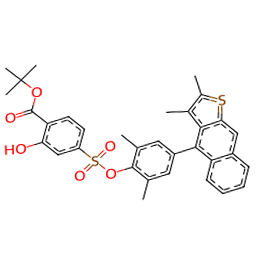 Cc1cc(-c2c3ccccc3cc3sc(C)c(C)c23)cc(C)c1OS(=O)(=O)c1ccc(C(=O)OC(C)(C)C)c(O)c1